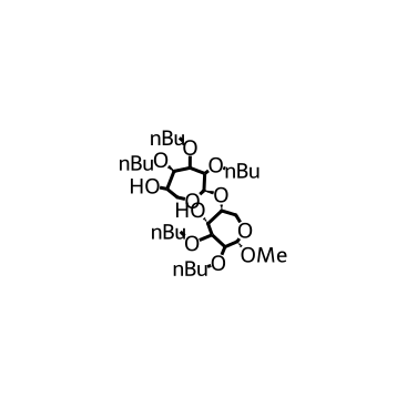 CCCCOC1C(OCCCC)[C@H](OCCCC)C(O)CO[C@@H]1O[C@@H]1CO[C@H](OC)C(OCCCC)C(OCCCC)[C@@H]1O